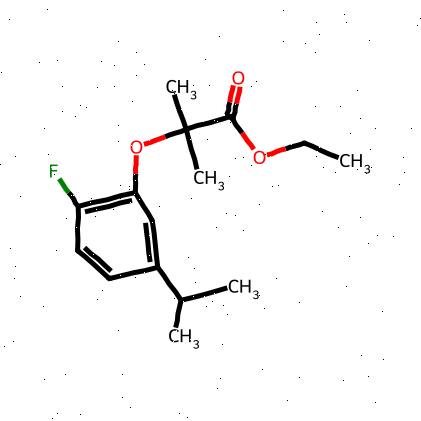 CCOC(=O)C(C)(C)Oc1cc(C(C)C)ccc1F